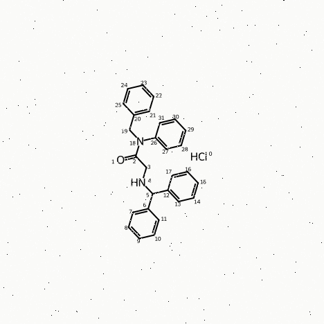 Cl.O=C(CNC(c1ccccc1)c1ccccc1)N(Cc1ccccc1)c1ccccc1